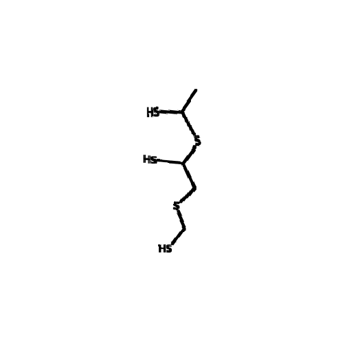 CC(S)SC(S)CSCS